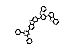 c1ccc(-c2nc(-c3ccccc3)nc(-c3ccc4c(c3)oc3ccc(-c5ccc(-c6cccc7c6oc6ccccc67)c6c5oc5ccccc56)cc34)n2)cc1